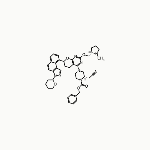 CN1CCC[C@H]1COc1nc2c(c(N3CCN(C(=O)OCc4ccccc4)[C@@H](CC#N)C3)n1)CCC(c1cccc3ccc4c(cnn4C4CCCCO4)c13)O2